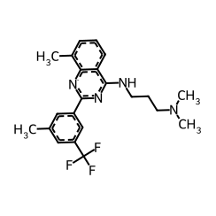 Cc1cc(-c2nc(NCCCN(C)C)c3cccc(C)c3n2)cc(C(F)(F)F)c1